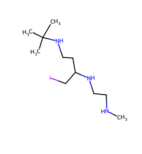 CNCCNC(CI)CCNC(C)(C)C